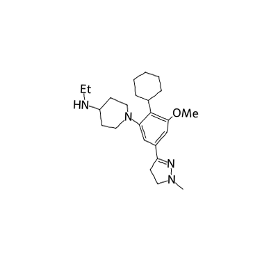 CCNC1CCN(c2cc(C3=NN(C)CC3)cc(OC)c2C2CCCCC2)CC1